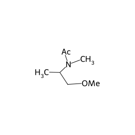 COCC(C)N(C)C(C)=O